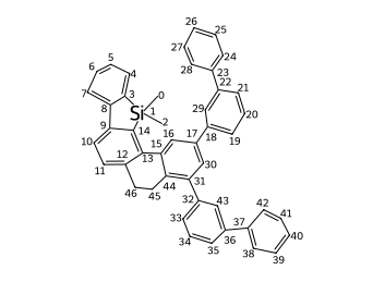 C[Si]1(C)c2ccccc2-c2ccc3c(c21)-c1cc(-c2cccc(-c4ccccc4)c2)cc(-c2cccc(-c4ccccc4)c2)c1CC3